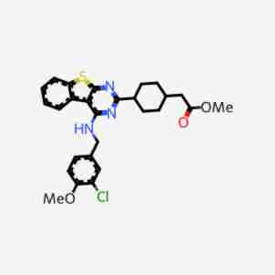 COC(=O)CC1CCC(c2nc(NCc3ccc(OC)c(Cl)c3)c3c(n2)sc2ccccc23)CC1